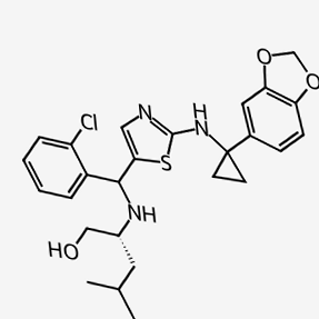 CC(C)C[C@H](CO)NC(c1cnc(NC2(c3ccc4c(c3)OCO4)CC2)s1)c1ccccc1Cl